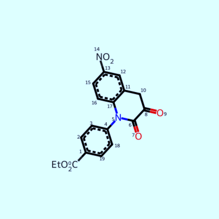 CCOC(=O)c1ccc(N2C(=O)C(=O)Cc3cc([N+](=O)[O-])ccc32)cc1